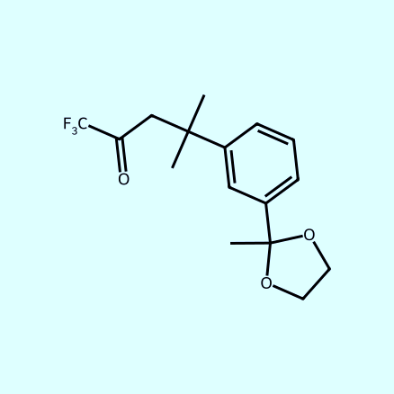 CC(C)(CC(=O)C(F)(F)F)c1cccc(C2(C)OCCO2)c1